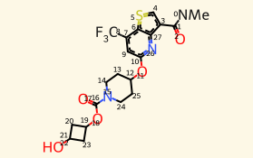 CNC(=O)c1csc2c(C(F)(F)F)cc(OC3CCN(C(=O)OC4CC(O)C4)CC3)nc12